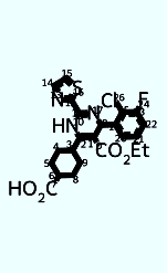 CCOC(=O)C1=C(C2CCC(C(=O)O)CC2)NC(c2nccs2)=NC1c1cccc(F)c1Cl